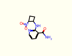 NC(=O)c1cccnc1NC1CCC1[N+](=O)[O-]